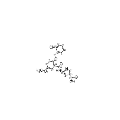 COc1ccc(OCc2ccccc2Cl)c(C(=O)Nc2ncc(C(=O)O)s2)c1